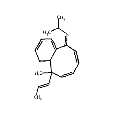 CC=CC1(C)\C=C/C=C\C(=N\C(C)C)C2=CC=CCC21